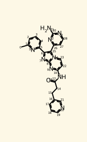 Cc1cccc(-c2nc3nc(NC(=O)CCc4cccnc4)ccn3c2-c2ccnc(N)n2)n1